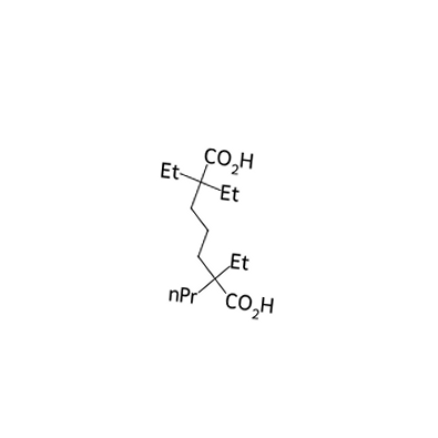 CCCC(CC)(CCCC(CC)(CC)C(=O)O)C(=O)O